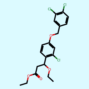 CCOC(=O)CC(OCC)c1ccc(OCc2ccc(Cl)c(Cl)c2)cc1Cl